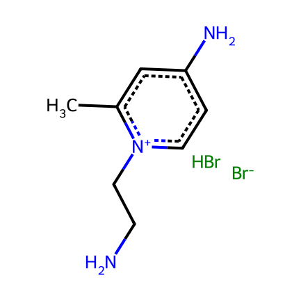 Br.Cc1cc(N)cc[n+]1CCN.[Br-]